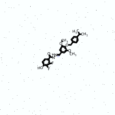 COc1cc(/C=N/NC(=O)c2ccc(O)c(F)c2F)cc(OC)c1OCc1ccc(C(C)C)cc1